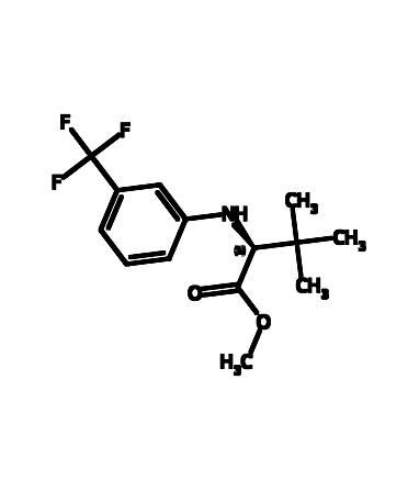 COC(=O)[C@@H](Nc1cccc(C(F)(F)F)c1)C(C)(C)C